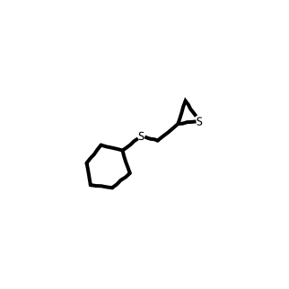 C1CCC(SCC2CS2)CC1